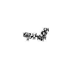 C[C@]1(NC(=O)O[C@@H]2CC[C@H](c3cc(Nc4cnc(C#N)cn4)[nH]n3)C2)CCOC1